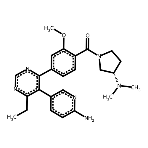 CCc1ncnc(-c2ccc(C(=O)N3CC[C@H](N(C)C)C3)c(OC)c2)c1-c1ccc(N)nc1